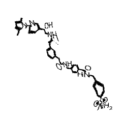 Cc1ccc(C)n1-c1ccc([C@@H](O)CN[C@H](C)Cc2cccc(CC(=O)NCc3ccc(C(=O)NCc4ccc(S(N)(=O)=O)cc4)cc3)c2)cn1